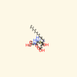 CCCCCCCCCCCC/C=C\[C@@H](SCC(N)C(=O)NCC(=O)O)[C@@H](O)CCC(=O)O